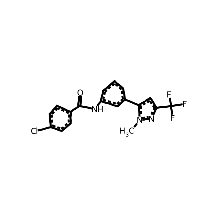 Cn1nc(C(F)(F)F)cc1-c1cccc(NC(=O)c2ccc(Cl)cc2)c1